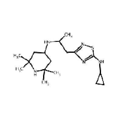 CC(Cc1nsc(NC2CC2)n1)NC1CC(C)(C)NC(C)(C)C1